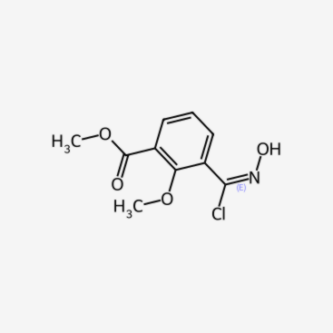 COC(=O)c1cccc(/C(Cl)=N\O)c1OC